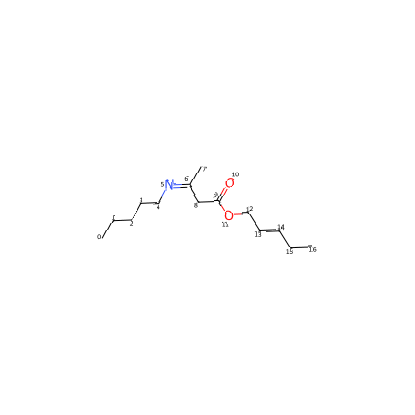 CCCCCN=C(C)CC(=O)OCCCCC